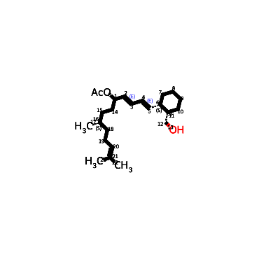 CC(=O)OC(/C=C/C=C/[C@@H]1CCCC[C@@H]1CO)CC[C@@H](C)CCC=C(C)C